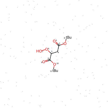 CC(C)(C)OC(=O)CC(OO)C(=O)OC(C)(C)C